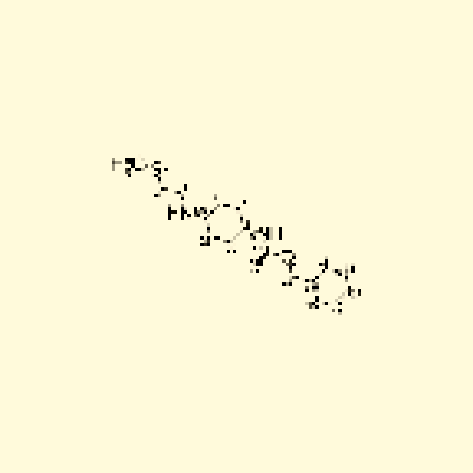 CSCCNC1CCC(NC(=O)OCc2ccccc2)CC1